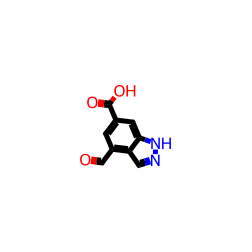 O=Cc1cc(C(=O)O)cc2[nH]ncc12